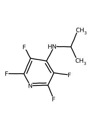 CC(C)Nc1c(F)c(F)nc(F)c1F